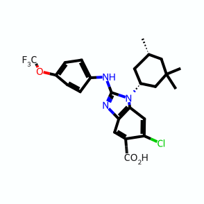 C[C@H]1C[C@@H](n2c(Nc3ccc(OC(F)(F)F)cc3)nc3cc(C(=O)O)c(Cl)cc32)CC(C)(C)C1